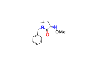 CON=C1CC(C)(C)N(Cc2ccccc2)C1=O